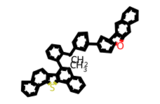 C=C(c1cccc(-c2ccc3oc4cc5ccccc5cc4c3c2)c1)c1ccccc1-c1c(C)c2ccccc2c2sc3c4ccccc4ccc3c12